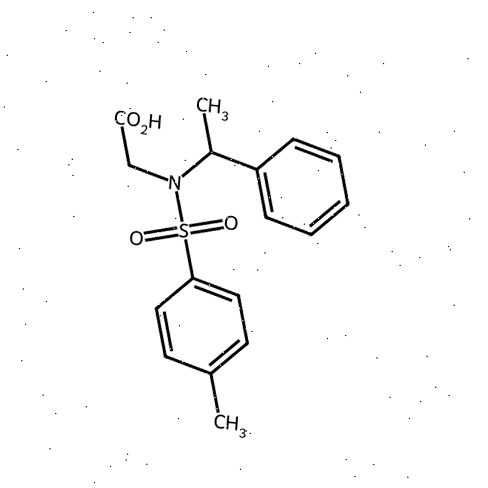 Cc1ccc(S(=O)(=O)N(CC(=O)O)C(C)c2ccccc2)cc1